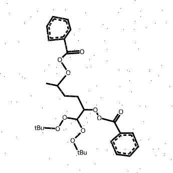 CC(CCC(OOC(=O)c1ccccc1)C(OOC(C)(C)C)OOC(C)(C)C)OOC(=O)c1ccccc1